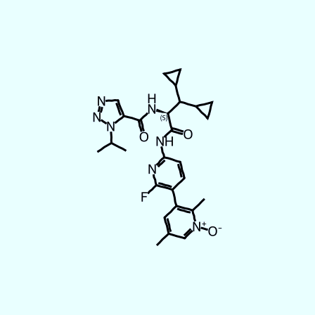 Cc1cc(-c2ccc(NC(=O)[C@@H](NC(=O)c3cnnn3C(C)C)C(C3CC3)C3CC3)nc2F)c(C)[n+]([O-])c1